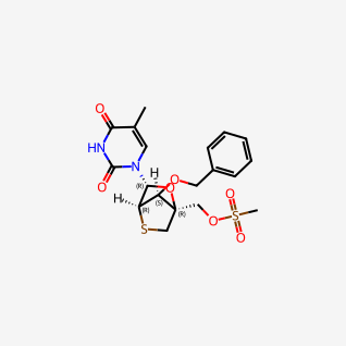 Cc1cn([C@@H]2O[C@@]3(COS(C)(=O)=O)CS[C@@H]2[C@H]3OCc2ccccc2)c(=O)[nH]c1=O